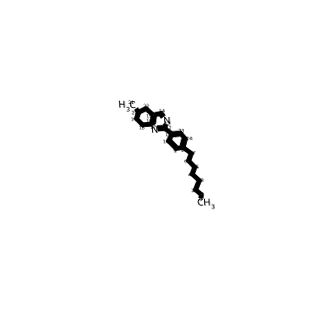 CCCCCCCCc1ccc(-c2ncc3c(n2)CCC(C)C3)cc1